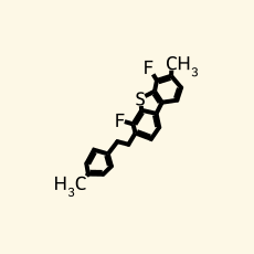 Cc1ccc(CCc2ccc3c(sc4c(F)c(C)ccc43)c2F)cc1